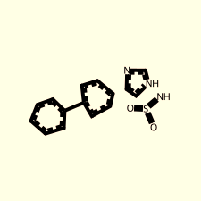 N=S(=O)=O.c1c[nH]cn1.c1ccc(-c2ccccc2)cc1